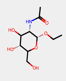 CCO[C@@H]1OC(CO)[C@H](O)C(O)[C@@H]1NC(C)=O